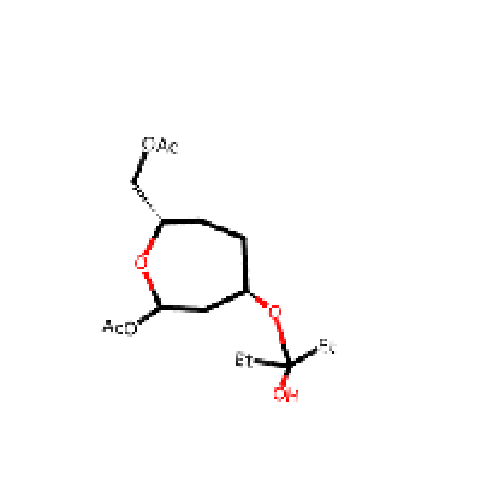 CCC(O)(CC)O[C@@H]1CC[C@@H](COC(C)=O)OC(OC(C)=O)C1